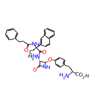 C[C@](NC(=O)CCc1ccccc1)(C(=O)N[C@H]1C(=O)N[C@@H]1Oc1ccc(C[C@H](N)C(=O)O)cc1)c1ccc2ccccc2c1